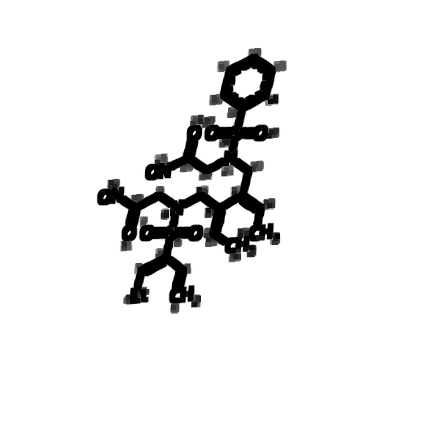 C=C/C(=C\CC)S(=O)(=O)N(CC(=O)N=O)CC(=C/C)/C(=C\C)CN(CC(=O)N=O)S(=O)(=O)c1ccccc1